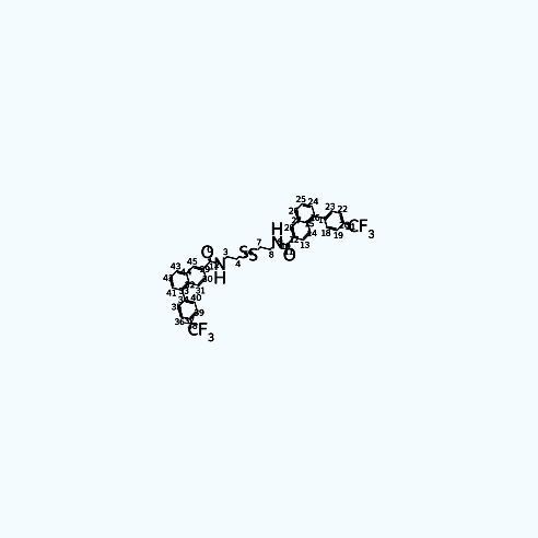 O=C(NCCSSCCNC(=O)c1ccc2c(-c3ccc(C(F)(F)F)cc3)cccc2c1)c1ccc2c(-c3ccc(C(F)(F)F)cc3)cccc2c1